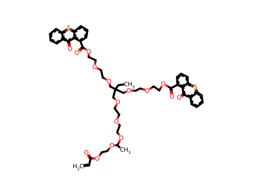 C=CC(=O)OCCOC(C)OCCOCCOCC(CC)(COCCOCCOC(=O)c1cccc2sc3ccccc3c(=O)c12)COCCOCCOC(=O)c1cccc2sc3ccccc3c(=O)c12